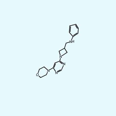 c1ccc(NCC2CN(c3cc(N4CCOCC4)ncn3)C2)cc1